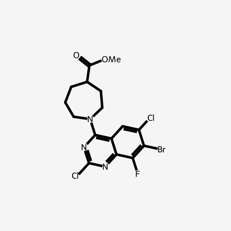 COC(=O)C1CCCN(c2nc(Cl)nc3c(F)c(Br)c(Cl)cc23)CC1